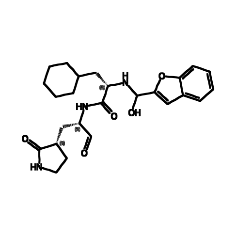 O=C[C@H](C[C@@H]1CCNC1=O)NC(=O)[C@H](CC1CCCCC1)NC(O)c1cc2ccccc2o1